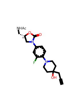 C#CCC1(O)CCN(c2ccc(N3C[C@H](CNC(C)=O)OC3=O)cc2F)CC1